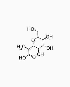 C[C@H](C(=O)O)[C@@H]1O[C@H](CO)[C@@H](O)[C@H](O)[C@H]1O